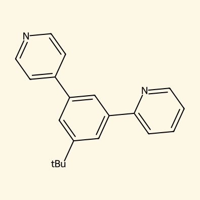 CC(C)(C)c1cc(-c2ccncc2)cc(-c2ccccn2)c1